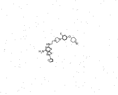 Nc1nc(NCCN2CCN(c3ccc(O[C@H]4CC[S@+]([O-])CC4)cc3F)CC2)nc2nc(-c3ccco3)nn12